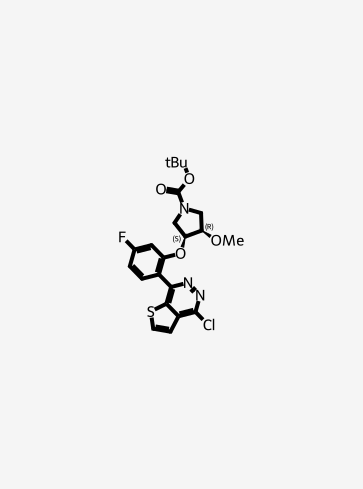 CO[C@@H]1CN(C(=O)OC(C)(C)C)C[C@@H]1Oc1cc(F)ccc1-c1nnc(Cl)c2ccsc12